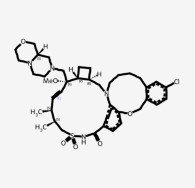 CO[C@@]1(CN2CCN3CCOC[C@@H]3C2)/C=C/[C@H](C)[C@H](C)CS(=O)(=O)NC(=O)c2ccc3c(c2)N(CCCCc2cc(Cl)ccc2CO3)C[C@@H]2CC[C@H]21